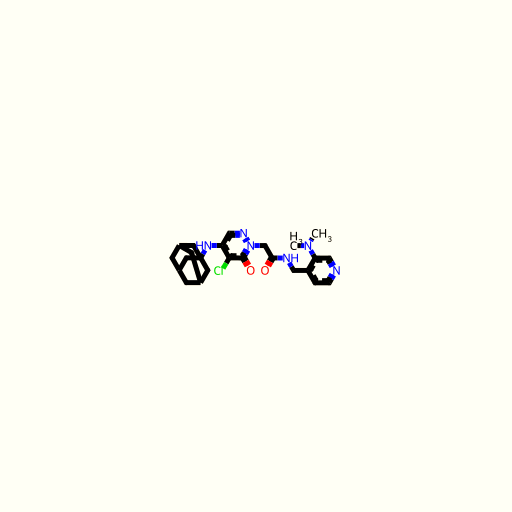 CN(C)c1cnccc1CNC(=O)Cn1ncc(NC23CC4CC(CC(C4)C2)C3)c(Cl)c1=O